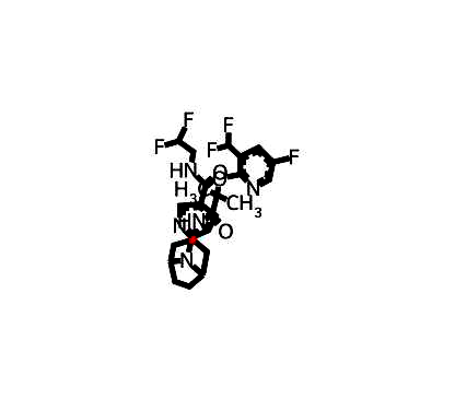 CC(C)(Oc1ncc(F)cc1C(F)F)C(=O)NC1CC2CCC(C1)N2c1ccc(C(=O)NCC(F)F)cn1